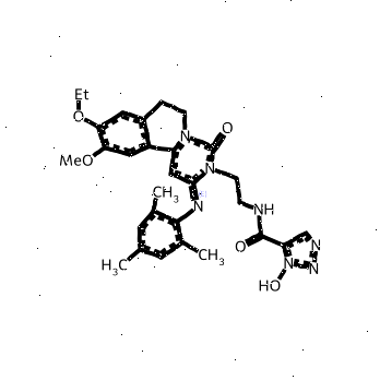 CCOc1cc2c(cc1OC)-c1c/c(=N\c3c(C)cc(C)cc3C)n(CCNC(=O)c3cnnn3O)c(=O)n1CC2